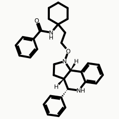 O=C(NC1(CCON2CC[C@H]3[C@@H](c4ccccc4)Nc4ccccc4[C@H]32)CCCCC1)c1ccccc1